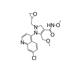 COCC1=C(C(=O)NOC)CN(CC2CO2)N1c1ccnc2cc(Cl)ccc12